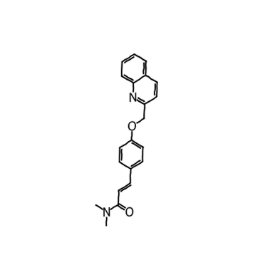 CN(C)C(=O)C=Cc1ccc(OCc2ccc3ccccc3n2)cc1